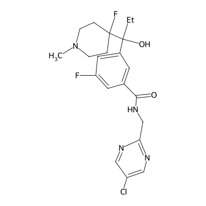 CCC(O)(c1cc(F)cc(C(=O)NCc2ncc(Cl)cn2)c1)C1(F)CCN(C)CC1